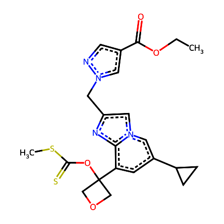 CCOC(=O)c1cnn(Cc2cn3cc(C4CC4)cc(C4(OC(=S)SC)COC4)c3n2)c1